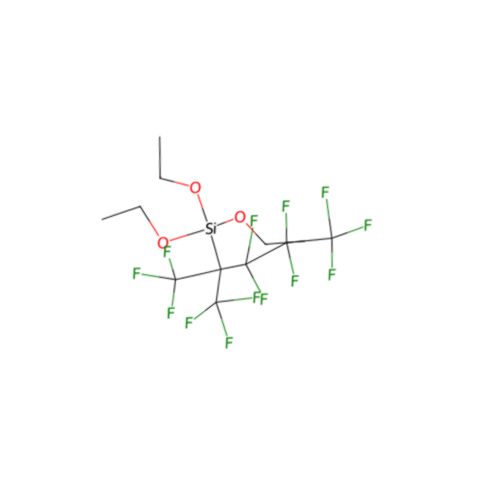 CCO[Si](OCC)(OCC)C(C(F)(F)F)(C(F)(F)F)C(F)(F)C(F)(F)C(F)(F)F